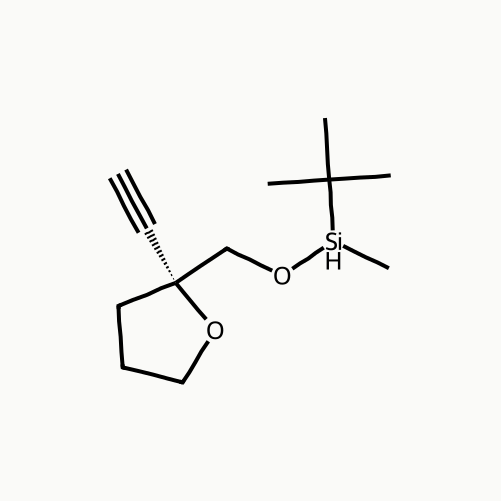 C#C[C@@]1(CO[SiH](C)C(C)(C)C)CCCO1